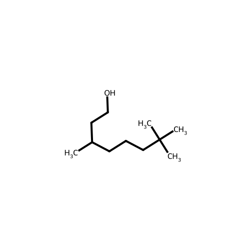 CC(CCO)CCCC(C)(C)C